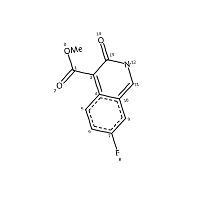 COC(=O)C1=c2ccc(F)cc2=C[N]C1=O